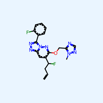 C=CCC(F)c1cc2nnc(-c3ccccc3F)n2nc1OCc1ncnn1C